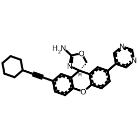 NC1=N[C@]2(CO1)c1cc(C#CC3CCCCC3)ccc1Oc1ccc(-c3cncnc3)cc12